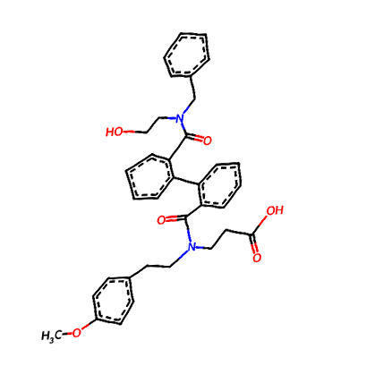 COc1ccc(CCN(CCC(=O)O)C(=O)c2ccccc2-c2ccccc2C(=O)N(CCO)Cc2ccccc2)cc1